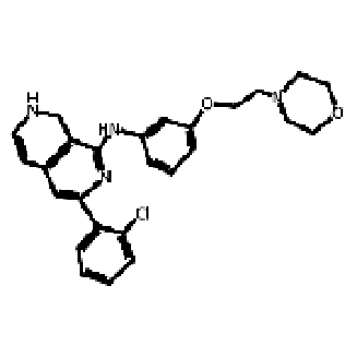 Clc1ccccc1-c1cc2c(c(Nc3cccc(OCCN4CCOCC4)c3)n1)CNC=C2